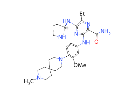 CCc1nc(C(N)=O)c(Nc2ccc(N3CCC4(CCN(C)CC4)CC3)c(OC)c2)nc1N[C@@H]1CCCNC1